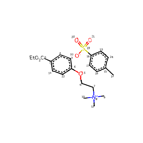 CCOC(=O)c1ccc(OCC[N+](C)(C)C)cc1.Cc1ccc(S(=O)(=O)[O-])cc1